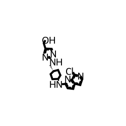 OCc1cnc(NC[C@H]2CC[C@H](Nc3ccc4ccnc(Cl)c4n3)CC2)nc1